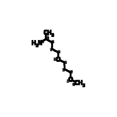 COCCCOCCCC(C)N